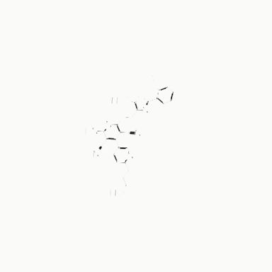 COc1ccccc1-c1nc(CSc2nc(N)c(C#N)c(-c3ccc(CCCO)nc3)c2C#N)c(C)o1